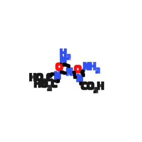 NC(=O)CN(CCN(CC(N)=O)CC(=O)O)CCN(CC(=O)O)CC(=O)O